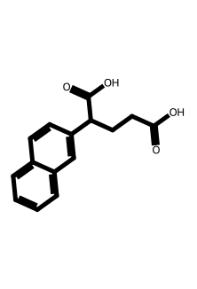 O=C(O)CCC(C(=O)O)c1ccc2ccccc2c1